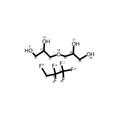 FCC(F)(F)C(F)(F)F.OCC(O)COCC(O)CO